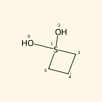 OS1(O)C[CH]C1